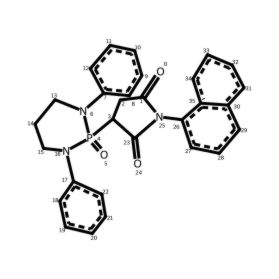 O=C1CC(P2(=O)N(c3ccccc3)CCCN2c2ccccc2)C(=O)N1c1cccc2ccccc12